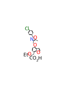 CCOC(Cc1ccc(OCc2nc(-c3ccc(Cl)cc3)oc2C)c2ccoc12)C(=O)O